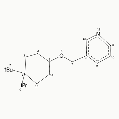 CC(C)C1(C(C)(C)C)CCC(OCc2cccnc2)CC1